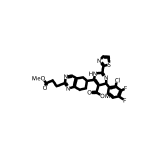 COC(=O)CCc1ncc2c(n1)CCC(C1=C(C(=O)OC)C(c3ccc(F)c(F)c3Cl)N=C(c3nccs3)N1)C2